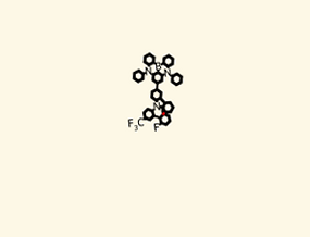 Fc1cccc(F)c1-c1cc(C(F)(F)F)ccc1-n1c2ccccc2c2cc(-c3cc4c5c(c3)N(c3ccccc3)c3ccccc3B5c3ccccc3N4c3ccccc3)ccc21